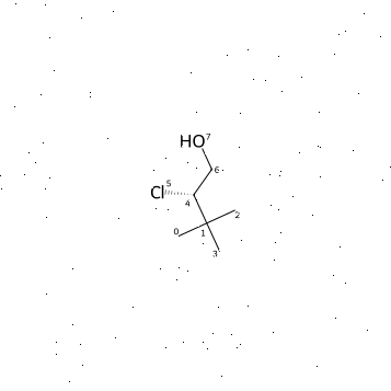 CC(C)(C)[C@H](Cl)CO